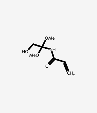 C=CC(=O)NC(CO)(OC)OC